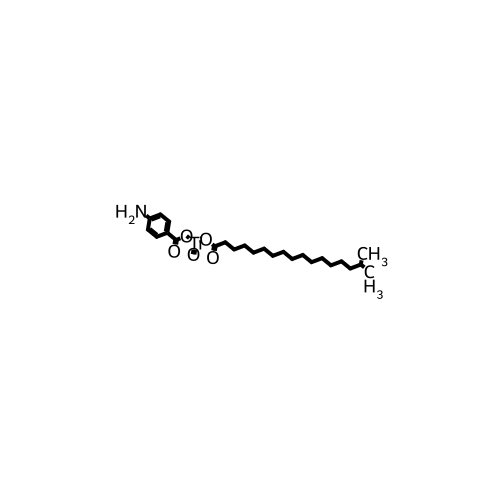 CC(C)CCCCCCCCCCCCCCC(=O)[O][Ti](=[O])[O]C(=O)c1ccc(N)cc1